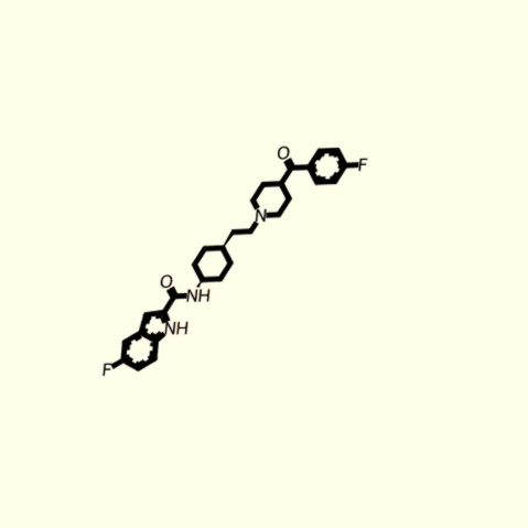 O=C(N[C@H]1CC[C@H](CCN2CCC(C(=O)c3ccc(F)cc3)CC2)CC1)c1cc2cc(F)ccc2[nH]1